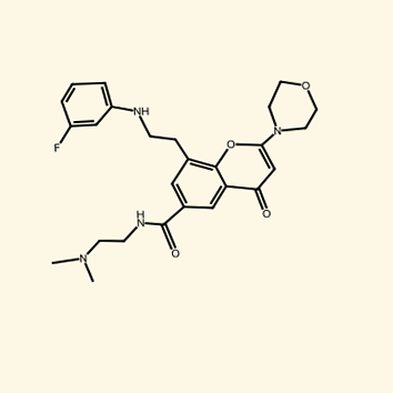 CN(C)CCNC(=O)c1cc(CCNc2cccc(F)c2)c2oc(N3CCOCC3)cc(=O)c2c1